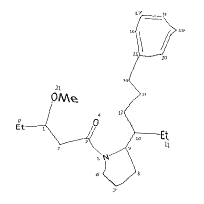 CCC(CC(=O)N1CCCC1C(CC)CCCc1ccccc1)OC